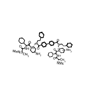 CN[C@@H](C)C(=O)N[C@H](C(=O)N1CC[C@@H](N)C[C@H]1CN(CCc1ccccc1)C(=O)c1ccc(-c2ccc(C(=O)N(CCc3ccccc3)C[C@@H]3C[C@H](N)CCN3C(=O)[C@@H](NC(=O)[C@H](C)NC)C3CCCCC3)cc2)cc1)C1CCCCC1